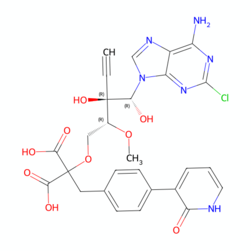 C#C[C@@](O)([C@@H](COC(Cc1ccc(-c2ccc[nH]c2=O)cc1)(C(=O)O)C(=O)O)OC)[C@@H](O)n1cnc2c(N)nc(Cl)nc21